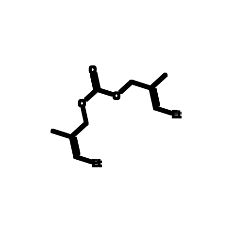 CCC=C(C)COC(=O)OCC(C)=CCC